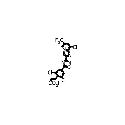 O=C(O)CCc1c(Cl)cc(-c2nc(-c3cn4cc(C(F)(F)F)cc(Cl)c4n3)no2)cc1Cl